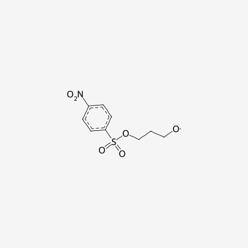 [O]CCCOS(=O)(=O)c1ccc([N+](=O)[O-])cc1